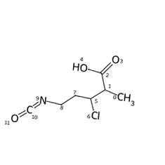 CC(C(=O)O)C(Cl)CCN=C=O